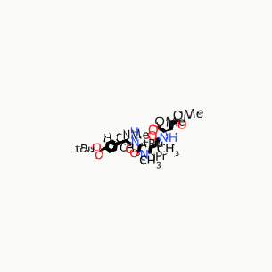 CN[C@H](C(=O)NC(C(=O)N(C)[C@H](/C=C(\C)C(=O)N[C@H](CCC(=O)OC)C(=O)OC)C(C)C)C(C)(C)C)C(C)(C)c1ccc(C(=O)OC(C)(C)C)cc1